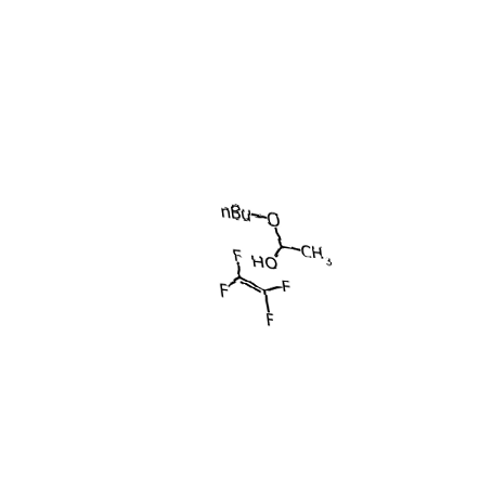 CCCCOC(C)O.FC(F)=C(F)F